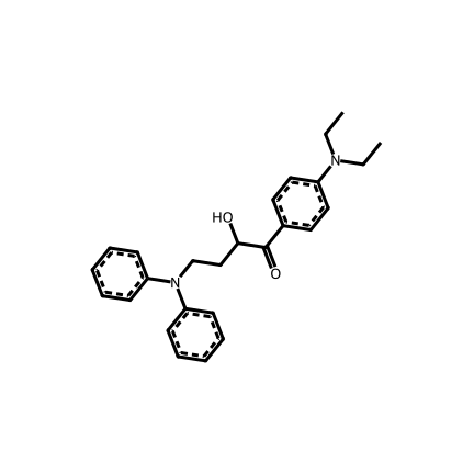 CCN(CC)c1ccc(C(=O)C(O)CCN(c2ccccc2)c2ccccc2)cc1